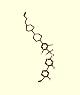 C=CCCC1CCC(C2CCC(c3cc(F)c(C(F)(F)Oc4ccc(-c5ccc(C=C)c(F)c5)c(F)c4)c(F)c3)CC2)CC1